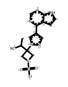 CCS(=O)(=O)N1CC(C(C)C#N)(n2cc(-c3ncnc4[nH]ccc34)cn2)C1